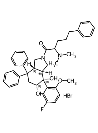 Br.COc1ccc(F)cc1[C@@]1(O)[C@H](O)CC(c2ccccc2)(c2ccccc2)[C@@H]2CN(C(=O)C(CCCc3ccccc3)N(C)C)C[C@@H]21